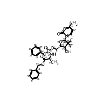 C[C@H](N[P@](=O)(OC[C@H]1O[C@@H](n2ccc(N)nc2=O)C(F)(F)C1O)Oc1ccccc1)C(=O)OCc1ccccc1